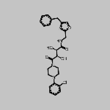 O=C(NCc1nc(Cc2ccccc2)co1)[C@H](O)[C@@H](O)C(=O)N1CCN(c2ccccc2Cl)CC1